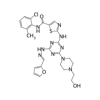 Cc1cccc(Cl)c1NC(=O)c1cnc(Nc2nc(N/N=C/c3ccco3)nc(N3CCN(CCO)CC3)n2)s1